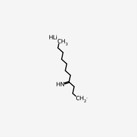 [CH2]CCC(=N)CCCCCCC.[LiH]